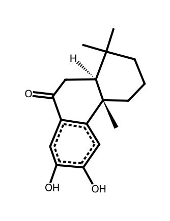 CC1(C)CCC[C@]2(C)c3cc(O)c(O)cc3C(=O)C[C@@H]12